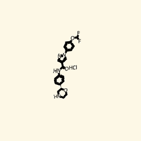 Cl.O=C(Nc1ccc([C@H]2CNCCO2)cc1)c1cnn(-c2ccc(OC(F)F)cc2)c1